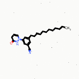 CCCCCCCCCCCCc1cc(C#N)cc(N2C=CCC(=O)N2)c1